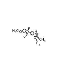 CCOc1ccc2c(F)c(-c3ccc(NC(=O)NC(C)C)cc3)n(CC3CC3)c2c1